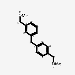 COCc1ccc(Cc2cccc(COC)c2)cc1